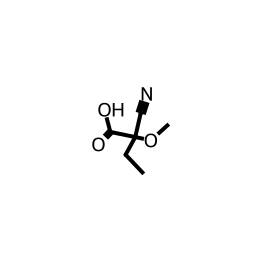 CCC(C#N)(OC)C(=O)O